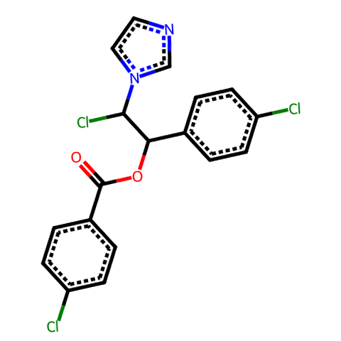 O=C(OC(c1ccc(Cl)cc1)C(Cl)n1ccnc1)c1ccc(Cl)cc1